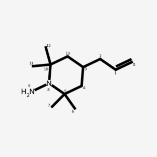 C=CCC1CC(C)(C)N(N)C(C)(C)C1